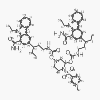 CCC(CCNC(=O)OC1CN(OC(=O)NCCC(CC)c2cc(C(N)=O)c3c(c2)c2ccccc2n3CC)CCN1S(=O)(=O)c1cn(C)cn1)c1cc(C(N)=O)c2c(c1)c1ccccc1n2CC